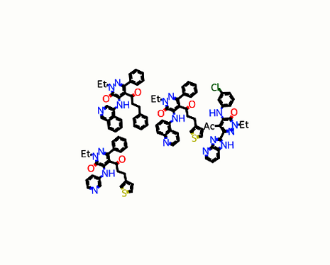 CCn1nc(-c2ccccc2)c(C(=O)CCc2ccccc2)c(Nc2cncc3ccccc23)c1=O.CCn1nc(-c2ccccc2)c(C(=O)CCc2ccsc2)c(Nc2cccc3ncccc23)c1=O.CCn1nc(-c2ccccc2)c(C(=O)CCc2ccsc2)c(Nc2cccnc2)c1=O.CCn1nc(-c2nc3ncccc3[nH]2)c(C(C)=O)c(Nc2cccc(Cl)c2)c1=O